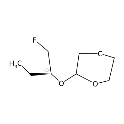 CC[C@@H](CF)OC1CCCCO1